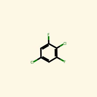 Fc1[c]c(Cl)cc(F)c1Cl